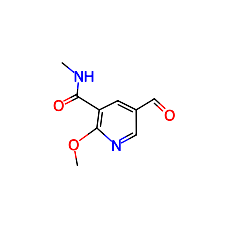 CNC(=O)c1cc(C=O)cnc1OC